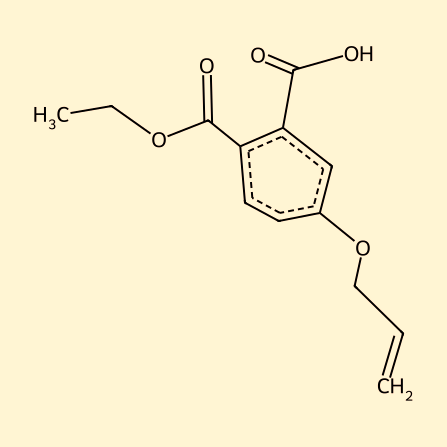 C=CCOc1ccc(C(=O)OCC)c(C(=O)O)c1